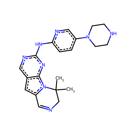 CC1(C)CN=Cc2cc3cnc(Nc4ccc(N5CCNCC5)cn4)nc3n21